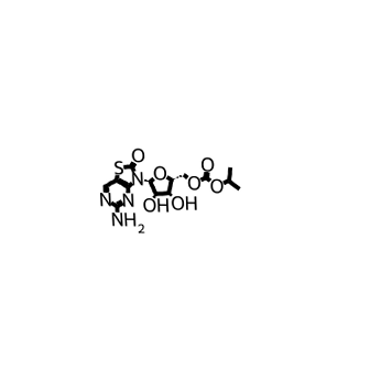 CC(C)OC(=O)OC[C@H]1O[C@@H](n2c(=O)sc3cnc(N)nc32)[C@H](O)[C@@H]1O